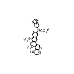 Cc1c(-c2cc3cc(N(C(=O)O)[C@H]4Cc5ncnn5C4)ncc3c(N)c2F)cnc2c1NCCO2